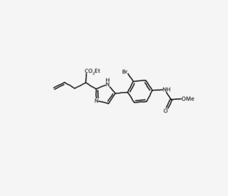 C=CCC(C(=O)OCC)c1ncc(-c2ccc(NC(=O)OC)cc2Br)[nH]1